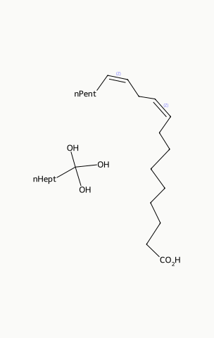 CCCCC/C=C\C/C=C\CCCCCCCC(=O)O.CCCCCCCC(O)(O)O